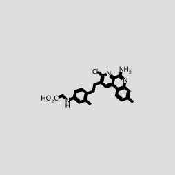 Cc1ccc2c(c1)nc(N)c1nc(Cl)c(CCc3ccc(NCC(=O)O)cc3C)cc12